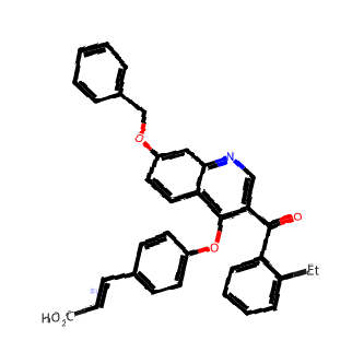 CCc1ccccc1C(=O)c1cnc2cc(OCc3ccccc3)ccc2c1Oc1ccc(/C=C/C(=O)O)cc1